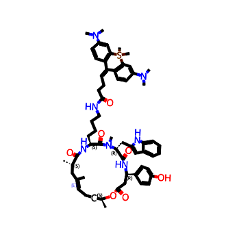 C/C1=C\CC[C@H](C)OC(=O)C[C@H](c2ccc(O)cc2)NC(=O)[C@@H](Cc2cc3ccccc3[nH]2)N(C)C(=O)[C@H](CCCCNC(=O)CCC=C2c3ccc(N(C)C)cc3S(C)(C)c3cc(N(C)C)ccc32)NC(=O)[C@@H](C)C1